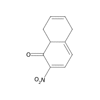 O=C1C([N+](=O)[O-])=CC=C2CC=CCC12